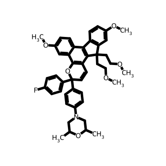 COCCC1(CCOC)c2cc(OC)ccc2-c2c1c1c(c3cc(OC)ccc23)OC(c2ccc(F)cc2)(c2ccc(N3CC(C)OC(C)C3)cc2)C=C1